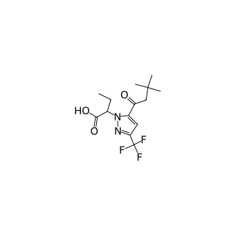 CCC(C(=O)O)n1nc(C(F)(F)F)cc1C(=O)CC(C)(C)C